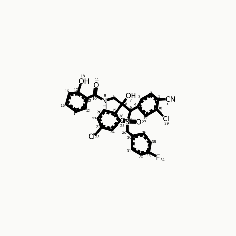 N#Cc1ccc(C(C(O)(CNC(=O)c2ccccc2O)c2ccc(Cl)cc2)S(=O)(=O)Cc2ccc(F)cc2)cc1Cl